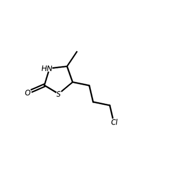 CC1NC(=O)SC1CCCCl